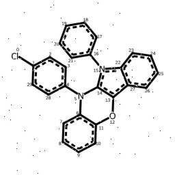 Clc1ccc(N2c3ccccc3Oc3c2n(-c2ccccc2)c2ccccc32)cc1